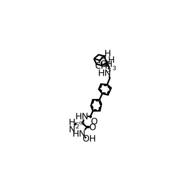 CC1(C)C2CC[C@@H](CNCc3ccc(-c4ccc(C(=O)N[C@@H](CN)C(=O)NO)cc4)cc3)[C@@H]1C2